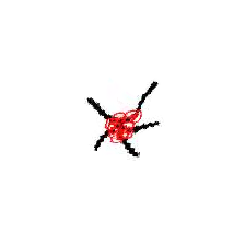 CCCCCCCCC(=O)OCC(OC(=O)CCCCCCCC)C(OC(=O)CCCCCCCC)C(COC(=O)CCCCCCCC)OC(=O)CCCCCCCC